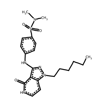 CCCCCCn1nc(Nc2ccc(S(=O)(=O)N(C)C)cc2)c2c(=O)[nH]ccc21